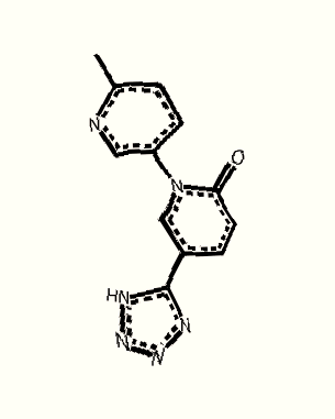 Cc1ccc(-n2cc(-c3nnn[nH]3)ccc2=O)cn1